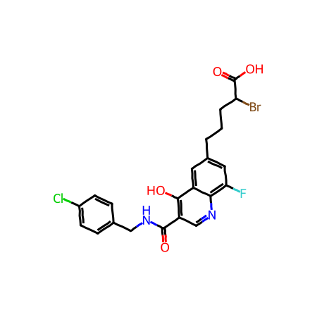 O=C(NCc1ccc(Cl)cc1)c1cnc2c(F)cc(CCCC(Br)C(=O)O)cc2c1O